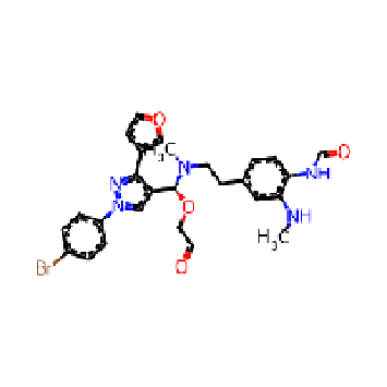 CNc1cc(CCN(C)[C@@H](OCC=O)c2cn(-c3ccc(Br)cc3)nc2-c2ccoc2)ccc1NC=O